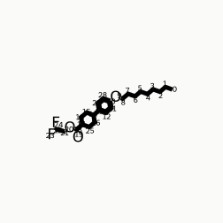 CCCCCCCCCOc1ccc(C2CCC(C(=O)OCC(F)F)CC2)cc1